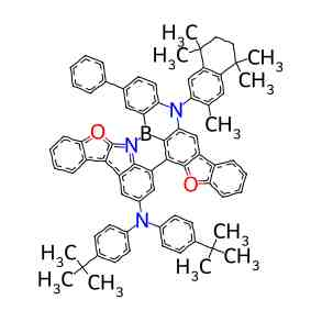 Cc1cc2c(cc1N1c3ccc(-c4ccccc4)cc3B3c4c1cc1c(oc5ccccc51)c4-c1cc(N(c4ccc(C(C)(C)C)cc4)c4ccc(C(C)(C)C)cc4)cc4c5c6ccccc6oc5n3c14)C(C)(C)CCC2(C)C